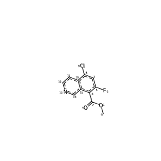 COC(=O)c1c(F)cc(Cl)c2ccncc12